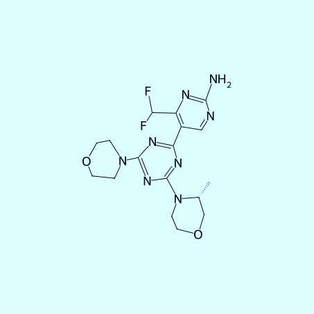 C[C@@H]1COCCN1c1nc(-c2cnc(N)nc2C(F)F)nc(N2CCOCC2)n1